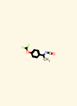 CC(N=C=O)c1ccc(OC(F)F)cc1